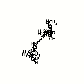 Cc1ncsc1-c1ccc(CNC(=O)[C@@H]2C[C@@H](O)CN2C(=O)[C@@H](NC(=O)COCCCCCNc2ccc(C(=O)N[C@H]3C(C)(C)[C@H](Oc4ccc(C#N)c(Cl)c4)C3(C)C)cc2)C(C)(C)C)cn1